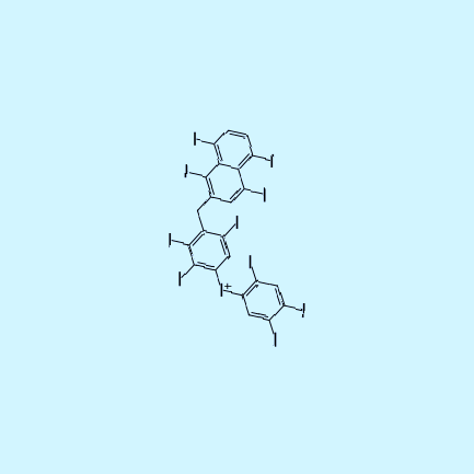 Ic1cc(I)c([I+]c2cc(I)c(Cc3cc(I)c4c(I)ccc(I)c4c3I)c(I)c2I)cc1I